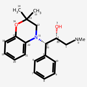 CNC[C@@H](O)[C@H](c1ccccc1)N1CC(C)(C)Oc2ccccc21